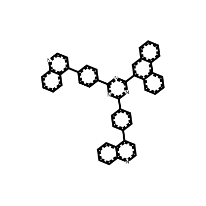 c1ccc2c(c1)cc(-c1nc(-c3ccc(-c4ccnc5ccccc45)cc3)nc(-c3ccc(-c4ccnc5ccccc45)cc3)n1)c1ccccc12